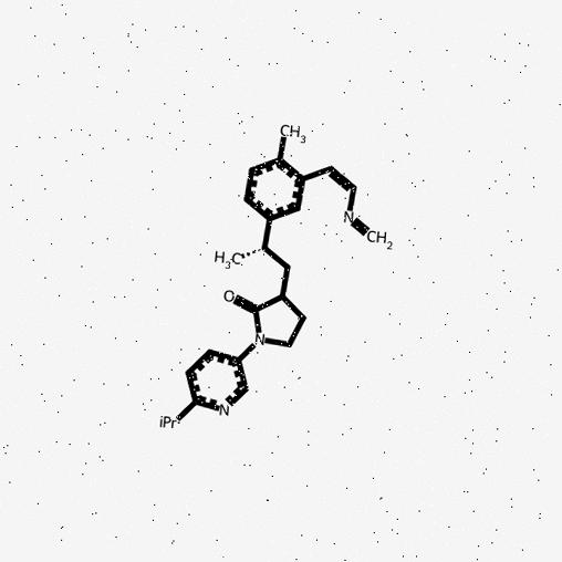 C=N/C=C\c1cc([C@@H](C)CC2CCN(c3ccc(C(C)C)nc3)C2=O)ccc1C